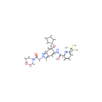 O=C(Nc1cc2cn(CC(=O)N3CCOCC3)nc2cc1OC1CCCC1)c1cccc(C(F)(F)F)n1